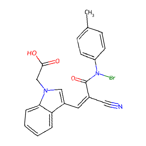 Cc1ccc(N(Br)C(=O)C(C#N)=Cc2cn(CC(=O)O)c3ccccc23)cc1